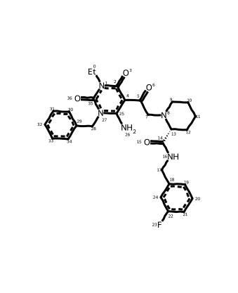 CCn1c(=O)c(C(=O)CN2CCCC[C@@H]2C(=O)NCc2cccc(F)c2)c(N)n(Cc2ccccc2)c1=O